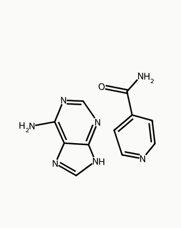 NC(=O)c1ccncc1.Nc1ncnc2[nH]cnc12